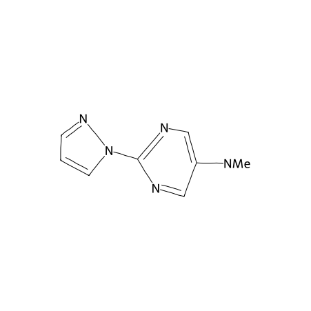 CNc1cnc(-n2cccn2)nc1